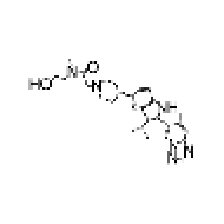 Cc1cc2ncnn2cc1-c1[nH]c2ccc(C3CCN(CC(=O)N(C)CCO)CC3)cc2c1C(C)C